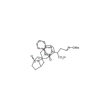 CON=CCC(C(=O)O)c1nc2ccccc2n([C@@H]2CC3CC[C@H](C2)N3C2CC3CCCCC(C3)C2)c1=O